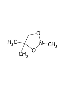 CN1OCC(C)(C)O1